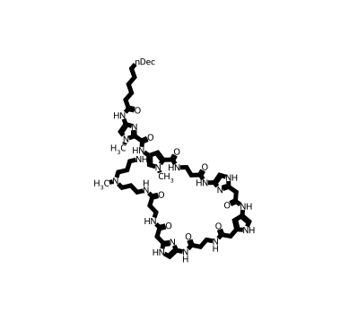 CCCCCCCCCCCCCCCC(=O)Nc1cn(C)c(C(=O)Nc2cc(C(=O)NCCC(=O)Nc3c[nH]c(CC(=O)Nc4c[nH]c(CC(=O)NCCC(=O)Nc5c[nH]c(CC(=O)NCCC(=O)NCCCN(C)CCCN)n5)c4)n3)n(C)c2)n1